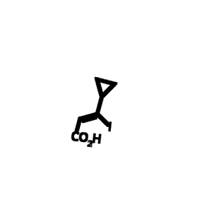 O=C(O)/C=C(\I)C1CC1